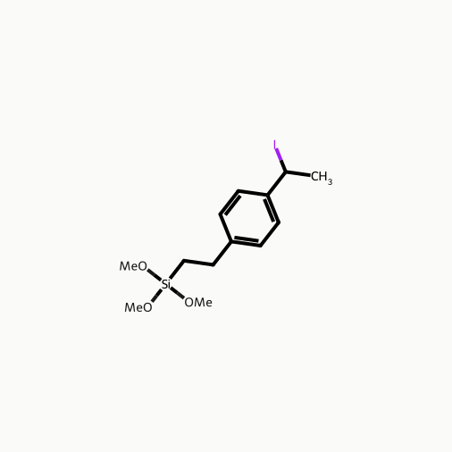 CO[Si](CCc1ccc(C(C)I)cc1)(OC)OC